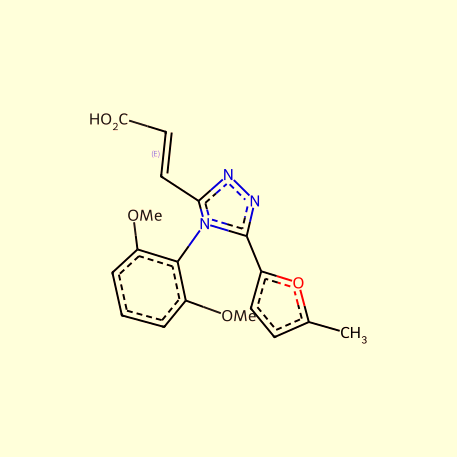 COc1cccc(OC)c1-n1c(/C=C/C(=O)O)nnc1-c1ccc(C)o1